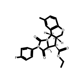 CCOC(=O)[C@@H]1[C@H]2COc3ccc(C)cc3[C@H]2N2C(=O)N(c3ccc(F)cc3)C(=O)[C@]12C